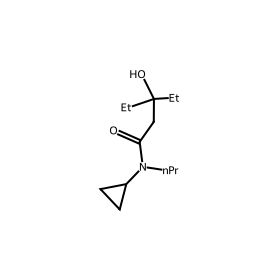 CCCN(C(=O)CC(O)(CC)CC)C1CC1